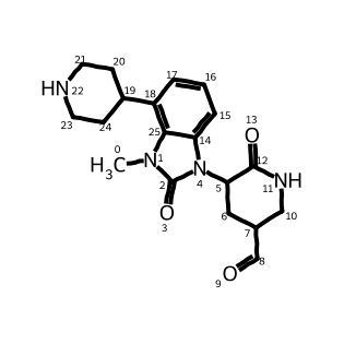 Cn1c(=O)n(C2CC(C=O)CNC2=O)c2cccc(C3CCNCC3)c21